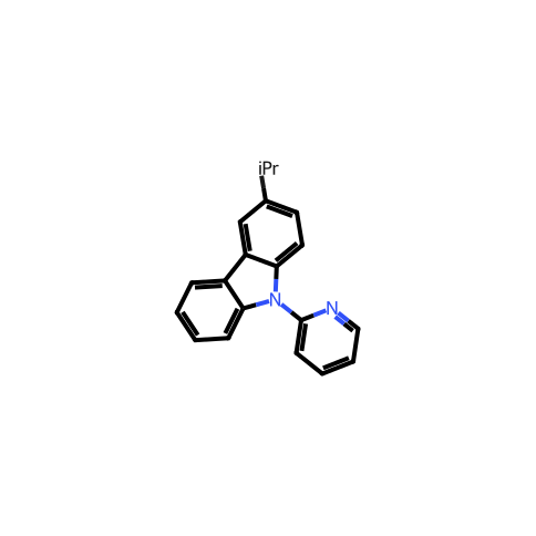 CC(C)c1ccc2c(c1)c1ccccc1n2-c1ccccn1